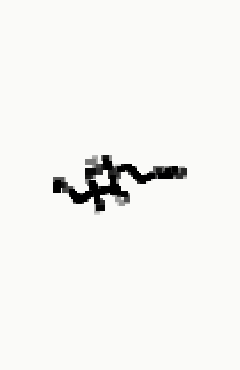 CNCCN(C)C(=O)C(F)(F)CC(C)C